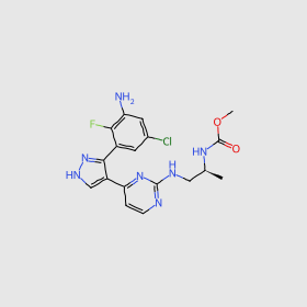 COC(=O)N[C@@H](C)CNc1nccc(-c2c[nH]nc2-c2cc(Cl)cc(N)c2F)n1